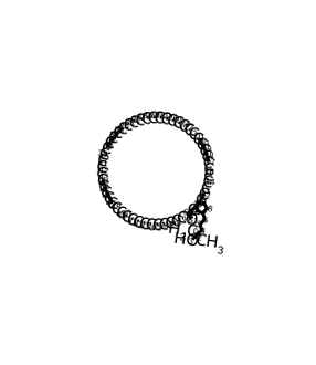 CC(C)(O)CCCC1CCC2(CCCCCCCCCCCCCCCCCCCCCCCCCCCCCCCCCCCCCCCCCCCCCCCCCC(=O)C2)C1